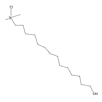 C[Si](C)(Cl)CCCCCCCCCCCCCCO